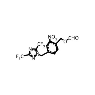 O=COCc1ccc(Cn2nc(C(F)(F)F)nc2C(F)(F)F)cc1[N+](=O)[O-]